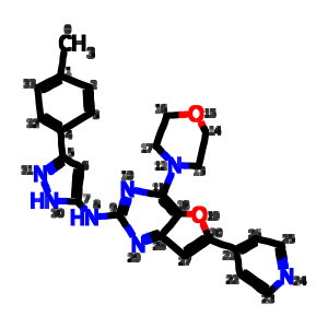 Cc1ccc(-c2cc(Nc3nc(N4CCOCC4)c4oc(-c5ccncc5)cc4n3)[nH]n2)cc1